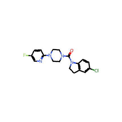 O=C(N1CCN(c2ccc(F)cn2)CC1)N1CCc2cc(Cl)ccc21